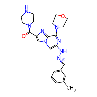 Cc1cccc(/C=N/Nc2cn3cc(C(=O)N4CCNCC4)nc3c(N3CCOCC3)n2)c1